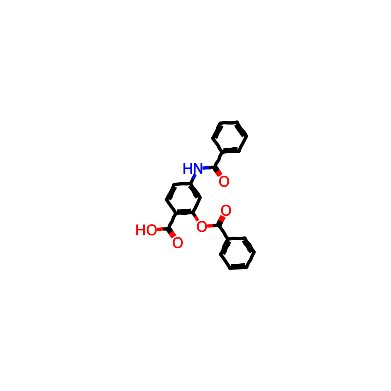 O=C(Nc1ccc(C(=O)O)c(OC(=O)c2ccccc2)c1)c1ccccc1